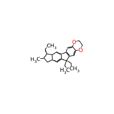 CCC1C(C)CC2C=C3C(=CC21)c1cc2c(cc1C3(CC)CC)OCCO2